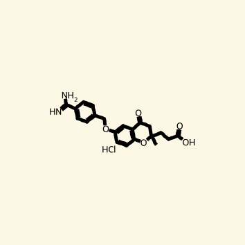 CC1(CCC(=O)O)CC(=O)c2cc(OCc3ccc(C(=N)N)cc3)ccc2O1.Cl